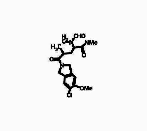 CNC(=O)C(CC(C)C(=O)N1Cc2cc(Cl)c(OC)cc2C1)N(C)C=O